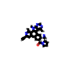 C#Cc1cc(C)c(-c2c(C3=CC[C@H](C(=O)N4CCC[C@H]4C#N)CC3)c3c(C)ncnc3n2C)c(C)n1